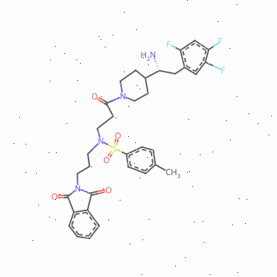 Cc1ccc(S(=O)(=O)N(CCCN2C(=O)c3ccccc3C2=O)CCC(=O)N2CCC([C@H](N)Cc3cc(F)c(F)cc3F)CC2)cc1